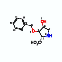 O=C(O)[C@H]1NCC(O)C1OCc1ccccc1